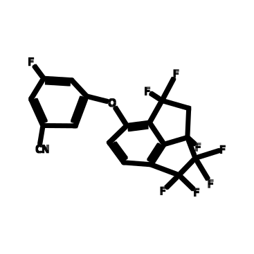 N#Cc1cc(F)cc(Oc2ccc3c4c2C(F)(F)CC4(F)C(F)(F)C3(F)F)c1